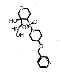 O=C(NO)C1(O)COCCC1S(=O)(=O)N1CCC(OCc2cccnc2)CC1